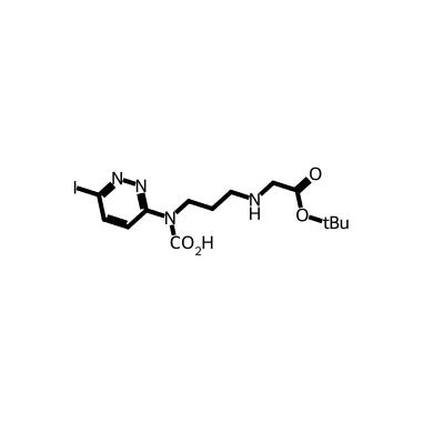 CC(C)(C)OC(=O)CNCCCN(C(=O)O)c1ccc(I)nn1